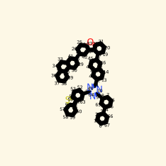 c1ccc(-c2cccc(-c3nc(-c4ccc5cc(-c6cccc7oc8ccc(-c9ccc%10c(ccc%11ccccc%11%10)c9)cc8c67)ccc5c4)nc(-c4ccc5sc6ccccc6c5c4)n3)c2)cc1